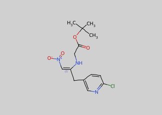 CC(C)(C)OC(=O)CN/C(=C\[N+](=O)[O-])Cc1ccc(Cl)nc1